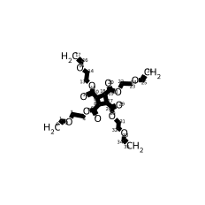 C=COCCOC(=O)C1C(C(=O)OCCOC=C)C(C(=O)OCCOC=C)C1C(=O)OCCOC=C